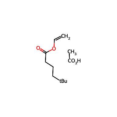 C=COC(=O)CCCC(C)(C)C.CC(=O)O